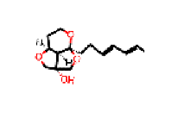 C/C=C/C=C/CC[C@]12OCC[C@@H]3OC[C@](O)(CO1)[C@@H]32